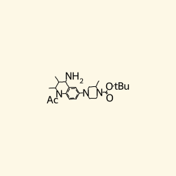 CC(=O)N1c2ccc(N3CCN(C(=O)OC(C)(C)C)C(C)C3)cc2C(N)C(C)C1C